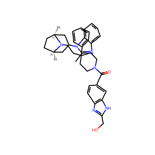 Cc1nc2ccccc2n1C1C[C@H]2CC[C@@H](C1)N2CCC1(c2ccccc2)CCN(C(=O)c2ccc3nc(CO)[nH]c3c2)CC1